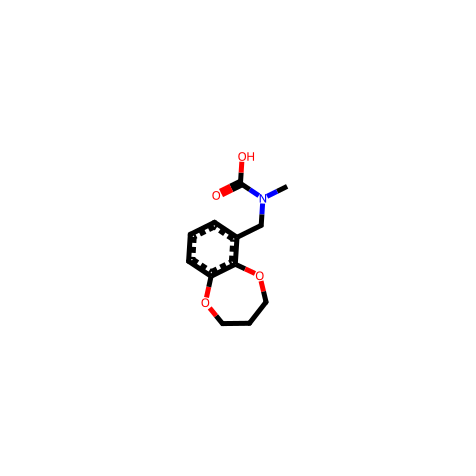 CN(Cc1cccc2c1OCCCO2)C(=O)O